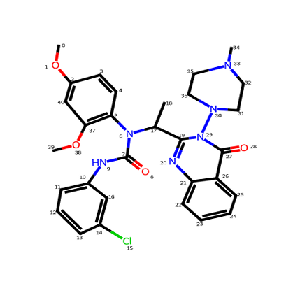 COc1ccc(N(C(=O)Nc2cccc(Cl)c2)C(C)c2nc3ccccc3c(=O)n2N2CCN(C)CC2)c(OC)c1